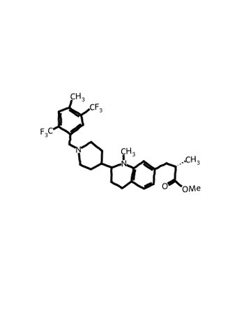 COC(=O)[C@@H](C)Cc1ccc2c(c1)N(C)C(C1CCN(Cc3cc(C(F)(F)F)c(C)cc3C(F)(F)F)CC1)CC2